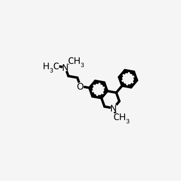 CN(C)CCOc1ccc2c(c1)CN(C)CC2c1ccccc1